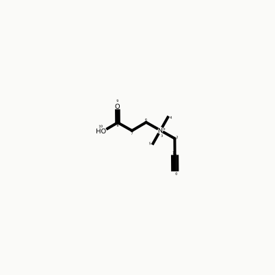 C#CC[N+](C)(C)CCC(=O)O